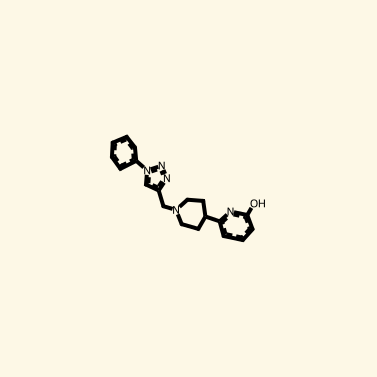 Oc1cccc(C2CCN(Cc3cn(-c4ccccc4)nn3)CC2)n1